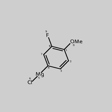 COc1cc[c]([Mg][Cl])cc1F